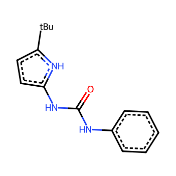 CC(C)(C)c1ccc(NC(=O)Nc2ccccc2)[nH]1